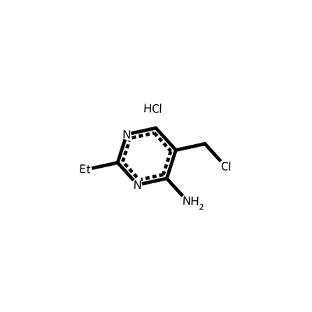 CCc1ncc(CCl)c(N)n1.Cl